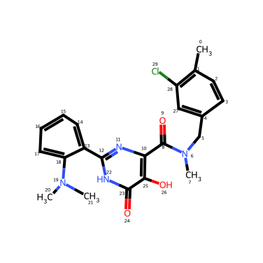 Cc1ccc(CN(C)C(=O)c2nc(-c3ccccc3N(C)C)[nH]c(=O)c2O)cc1Cl